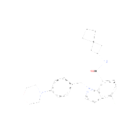 O=C(NC1CC2(CCC2)C1)c1ccc(F)c2ccn(Cc3ccc(N4CCOCC4)cc3)c12